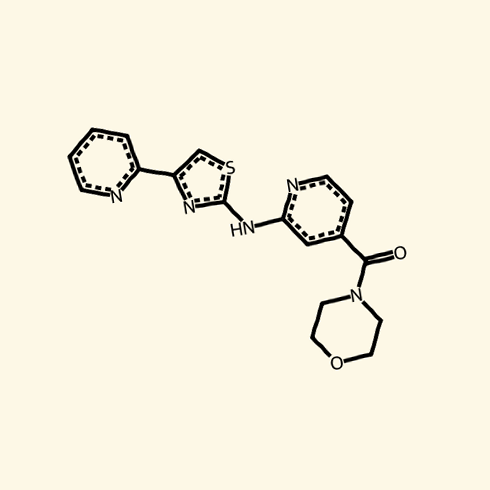 O=C(c1ccnc(Nc2nc(-c3ccccn3)cs2)c1)N1CCOCC1